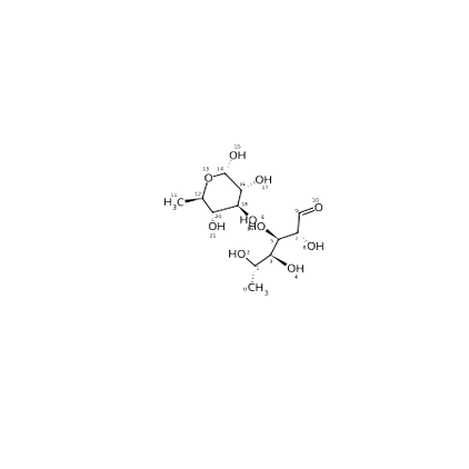 C[C@H](O)[C@H](O)[C@@H](O)[C@@H](O)C=O.C[C@H]1O[C@H](O)[C@H](O)[C@@H](O)[C@@H]1O